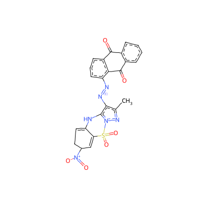 Cc1nn2c(c1/N=N/c1cccc3c1C(=O)c1ccccc1C3=O)NC1=CCC([N+](=O)[O-])C=C1S2(=O)=O